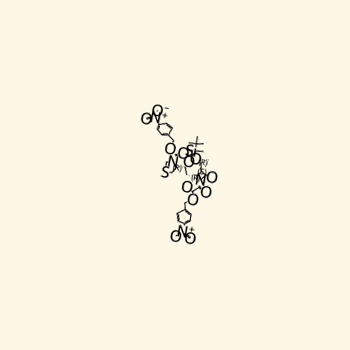 C[C@@H](O[Si](C)(C)C(C)(C)C)[C@H]1C(=O)N(C(=O)C(=O)OCc2ccc([N+](=O)[O-])cc2)[C@@H]1CC(=O)[C@@H]1CSCN1C(=O)OCc1ccc([N+](=O)[O-])cc1